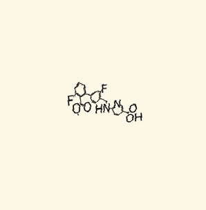 COC(=O)c1c(F)cccc1-c1ccc(CNc2ccc(C(=O)O)cn2)c(F)c1